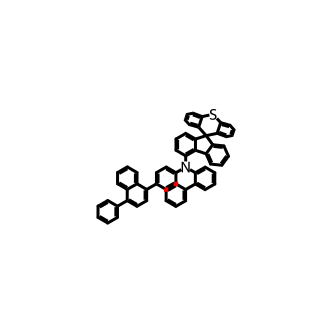 c1ccc(-c2ccccc2N(c2ccc(-c3ccc(-c4ccccc4)c4ccccc34)cc2)c2cccc3c2-c2ccccc2C32c3ccccc3Sc3ccccc32)cc1